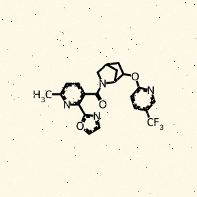 Cc1ccc(C(=O)N2CC3CC(Oc4ccc(C(F)(F)F)cn4)C2C3)c(-c2ncco2)n1